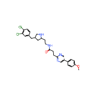 COc1ccc(-c2cnc(CCC(=O)NCCC3CC(Cc4ccc(Cl)c(Cl)c4)CN3)nc2)cc1